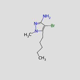 CCCCCc1c(Br)c(N)nn1C